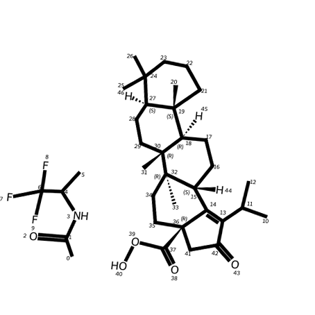 CC(=O)NC(C)C(F)(F)F.CC(C)C1=C2[C@H]3CC[C@@H]4[C@@]5(C)CCCC(C)(C)[C@@H]5CC[C@@]4(C)[C@]3(C)CC[C@@]2(C(=O)OO)CC1=O